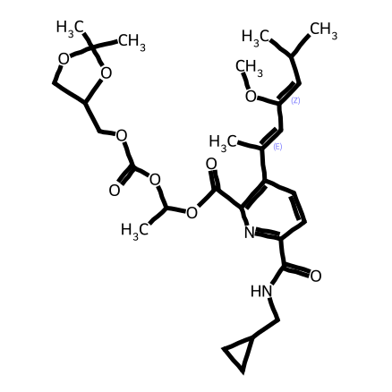 COC(=C\C(C)C)/C=C(\C)c1ccc(C(=O)NCC2CC2)nc1C(=O)OC(C)OC(=O)OCC1COC(C)(C)O1